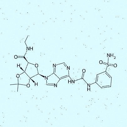 CCNC(=O)[C@H]1O[C@@H](n2cnc3c(NC(=O)Nc4cccc(S(N)(=O)=O)c4)ncnc32)[C@@H]2OC(C)(C)O[C@@H]21